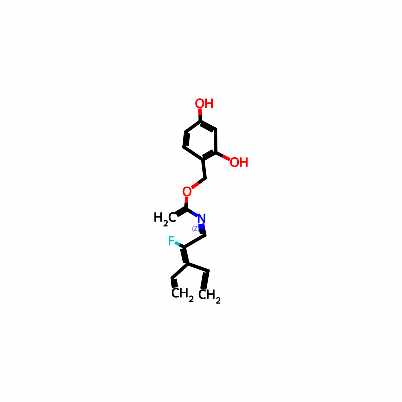 C=CC(C=C)=C(F)/C=N\C(=C)OCc1ccc(O)cc1O